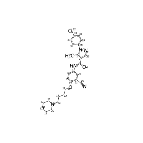 Cc1c(C(=O)Nc2ccc(OCCCCN3CCOCC3)c(C#N)c2)cnn1-c1ccc(Cl)cc1